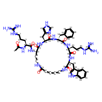 CC(=O)N[C@@H](CCCNC(=N)N)C(=O)N[C@H]1CCNC(=O)CCCCNC(=O)[C@H](Cc2c[nH]c3ccccc23)NC(=O)[C@H](CCCNC(=N)N)NC(=O)[C@@H](Cc2ccccc2)NC(=O)[C@H](Cc2c[nH]cn2)NC1=O